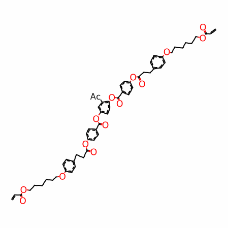 C=CC(=O)OCCCCCCOc1ccc(CCC(=O)Oc2ccc(C(=O)Oc3ccc(OC(=O)c4ccc(OC(=O)CCc5ccc(OCCCCCCOC(=O)C=C)cc5)cc4)c(C(C)=O)c3)cc2)cc1